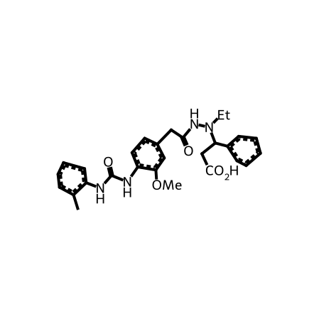 CCN(NC(=O)Cc1ccc(NC(=O)Nc2ccccc2C)c(OC)c1)C(CC(=O)O)c1ccccc1